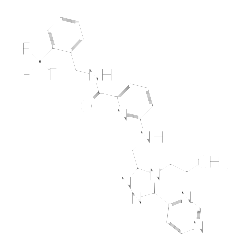 CCCN1C(CNc2cccc(C(=O)NCc3ccccc3C(F)(F)F)n2)N=NC1c1ccncn1